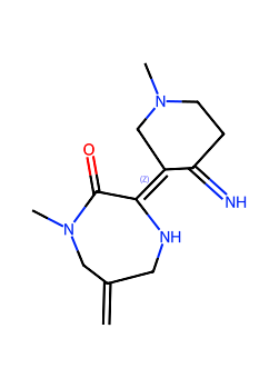 C=C1CN/C(=C2/CN(C)CCC2=N)C(=O)N(C)C1